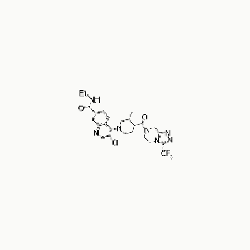 CCNC(=O)c1ccc2c(N3CCC(C(=O)N4CCn5c(nnc5C(F)(F)F)C4)C(C)C3)c(Cl)cnc2c1